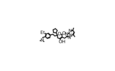 CCc1cc(CCC2(C3CCCC3)CC(O)=C(Cc3nc4nc(C)cc(C)n4n3)C(=O)O2)ccc1CN(C)C